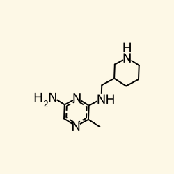 Cc1ncc(N)nc1NCC1CCCNC1